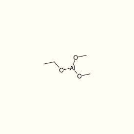 CC[O][Al]([O]C)[O]C